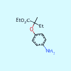 CCOC(=O)C(C)(CC)Oc1ccc(N)cc1